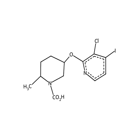 CC1CCC(Oc2nccc(I)c2Cl)CN1C(=O)O